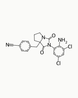 N#Cc1ccc(CC23CCCN2C(=O)N(c2cc(Cl)cc(Cl)c2N)C3=O)cc1